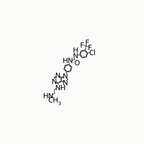 CNCCNc1ncnc2c1ncn2-c1ccc(NC(=O)Nc2ccc(Cl)c(C(F)(F)F)c2)cc1